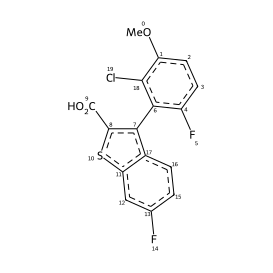 COc1ccc(F)c(-c2c(C(=O)O)sc3cc(F)ccc23)c1Cl